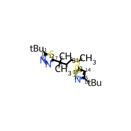 C[SH](CCC(C)(C)c1nnc(C(C)(C)C)s1)c1cc(C(C)(C)C)ns1